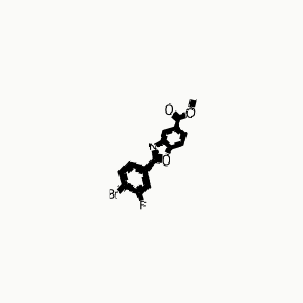 COC(=O)c1ccc2oc(-c3ccc(Br)c(F)c3)nc2c1